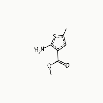 COC(=O)c1cc(C)sc1N